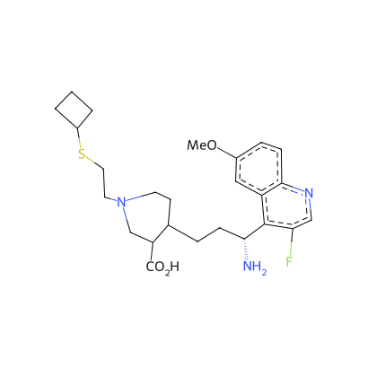 COc1ccc2ncc(F)c([C@H](N)CCC3CCN(CCSC4CCC4)CC3C(=O)O)c2c1